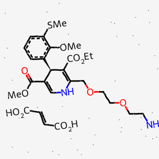 CCOC(=O)C1=C(COCCOCCN)NC=C(C(=O)OC)[C@H]1c1cccc(SC)c1OC.O=C(O)/C=C/C(=O)O